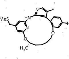 CSCc1cc2nc(c1)O[C@@H](C)CCCCOc1cc(F)ccc1-c1cc(ncc1F)N2